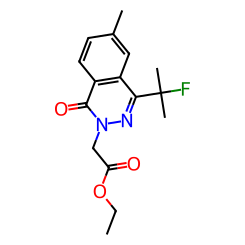 CCOC(=O)Cn1nc(C(C)(C)F)c2cc(C)ccc2c1=O